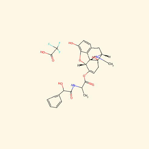 CC(NC(=O)C(O)c1ccccc1)C(=O)OC1=CC[C@@]2(O)[C@H]3Cc4ccc(O)c5c4[C@@]2(CCN3C)[C@H]1O5.O=C(O)C(F)(F)F